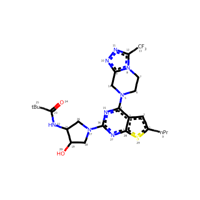 CCCc1cc2c(N3CCn4c(nnc4C(F)(F)F)C3)nc(N3CC(O)C(NC(=O)C(C)(C)C)C3)nc2s1